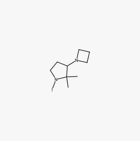 CC1(C)C(N2CCC2)CCN1I